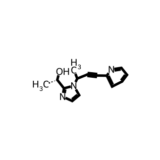 CC(C#Cc1ccccn1)n1ccnc1[C@H](C)O